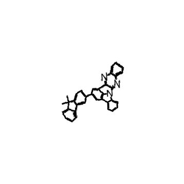 CC1(C)c2ccccc2-c2cc(-c3cc4c5ccccc5n5c6nc7ccccc7nc6c(c3)c45)ccc21